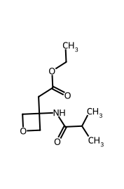 CCOC(=O)CC1(NC(=O)C(C)C)COC1